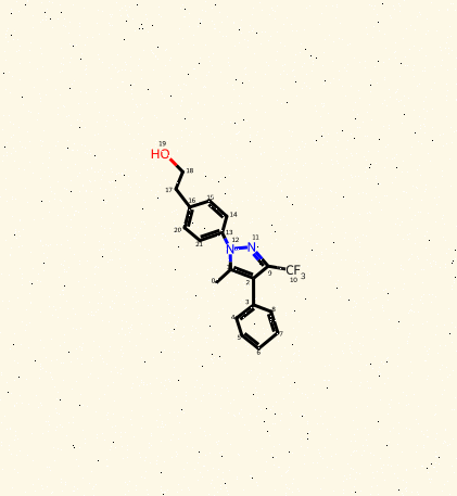 Cc1c(-c2ccccc2)c(C(F)(F)F)nn1-c1ccc(CCO)cc1